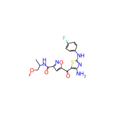 COCC(C)NC(=O)c1cc(C(=O)c2sc(Nc3ccc(F)cc3)nc2N)on1